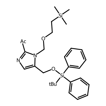 CC(=O)c1ncc(CO[Si](c2ccccc2)(c2ccccc2)C(C)(C)C)n1COCC[Si](C)(C)C